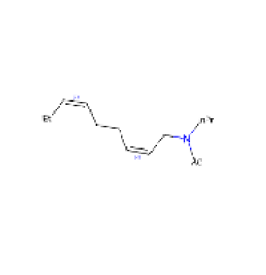 CC/C=C\CC/C=C\CN(CCC)C(C)=O